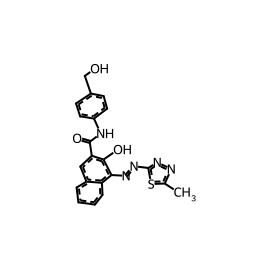 Cc1nnc(/N=N/c2c(O)c(C(=O)Nc3ccc(CO)cc3)cc3ccccc23)s1